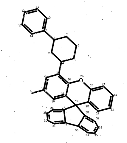 Cc1cc(C2CCCC(c3ccccc3)C2)c2c(c1)C1(c3ccccc3O2)c2ccccc2-c2ccccc21